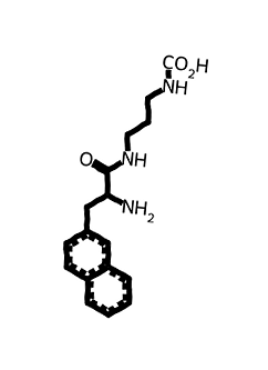 NC(Cc1ccc2ccccc2c1)C(=O)NCCCNC(=O)O